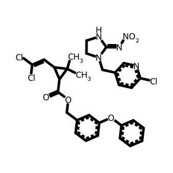 CC1(C)C(C=C(Cl)Cl)C1C(=O)OCc1cccc(Oc2ccccc2)c1.O=[N+]([O-])/N=C1\NCCN1Cc1ccc(Cl)nc1